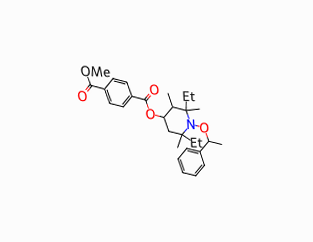 CCC1(C)CC(OC(=O)c2ccc(C(=O)OC)cc2)C(C)C(C)(CC)N1OC(C)c1ccccc1